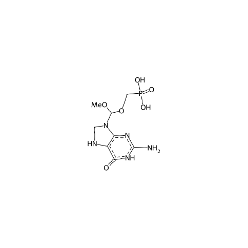 COC(OCP(=O)(O)O)N1CNc2c1nc(N)[nH]c2=O